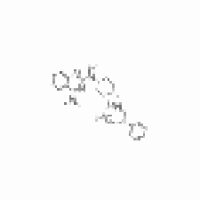 CN(C)c1nc(N[C@H]2CC[C@@H](CNCC(CO)c3ccccc3)CC2)nc2ccccc12